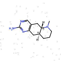 CN1CCC[C@H]2Cc3nc(N)ncc3C[C@@H]21